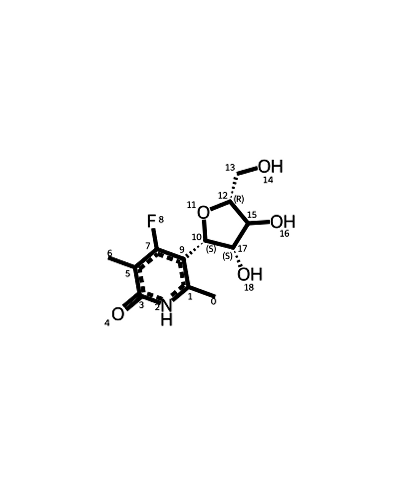 Cc1[nH]c(=O)c(C)c(F)c1[C@@H]1O[C@H](CO)C(O)[C@@H]1O